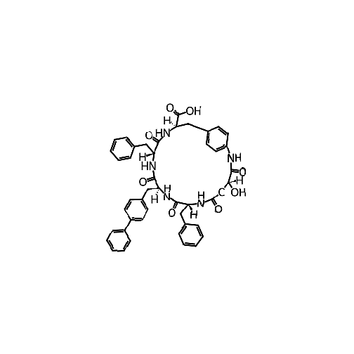 O=C1C[C@@H](O)C(=O)Nc2ccc(cc2)C[C@H](C(=O)O)NC(=O)[C@@H](Cc2ccccc2)NC(=O)[C@H](Cc2ccc(-c3ccccc3)cc2)NC(=O)[C@@H](Cc2ccccc2)N1